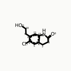 O=C1CCc2cc(Cl)c(CCO)cc2N1